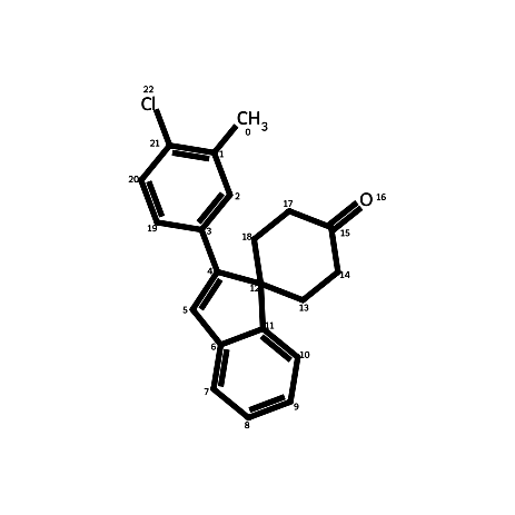 Cc1cc(C2=Cc3ccccc3C23CCC(=O)CC3)ccc1Cl